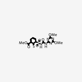 COC(=O)C1=CC=CC(S(=O)(=O)NC(=O)Nc2nc(OC)nc(OC)n2)C1=S